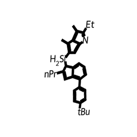 CCCC1=Cc2c(-c3ccc(C(C)(C)C)cc3)cccc2C1[SiH2]C1=C(C)C2=C(C)C(CC)=NC2=C1